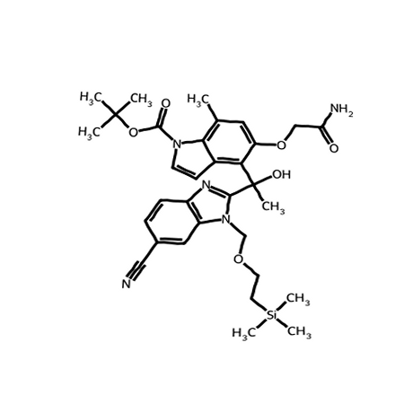 Cc1cc(OCC(N)=O)c(C(C)(O)c2nc3ccc(C#N)cc3n2COCC[Si](C)(C)C)c2ccn(C(=O)OC(C)(C)C)c12